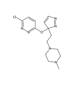 CN1CCN(CCC2(Oc3ccc(Cl)nn3)C=CN=N2)CC1